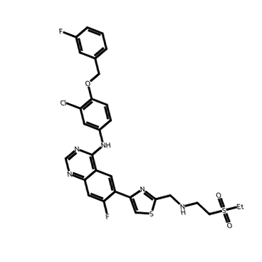 CCS(=O)(=O)CCNCc1nc(-c2cc3c(Nc4ccc(OCc5cccc(F)c5)c(Cl)c4)ncnc3cc2F)cs1